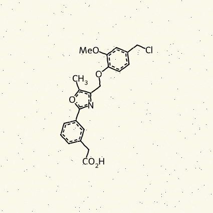 COc1cc(CCl)ccc1OCc1nc(-c2cccc(CC(=O)O)c2)oc1C